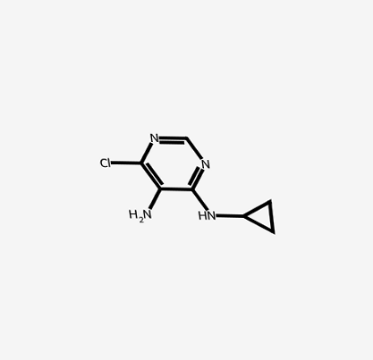 Nc1c(Cl)ncnc1NC1CC1